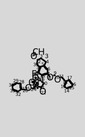 COC1CCc2cc(OCOCc3ccccc3)c(N3CC(=O)N(COCc4ccccc4)S3(=O)=O)c(F)c2C1